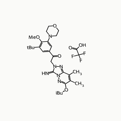 CC[C@H](C)Oc1nn2c(=N)n(CC(=O)c3cc(N4CCOCC4)c(OC)c(C(C)(C)C)c3)nc2c(C)c1C.O=C(O)C(F)(F)F